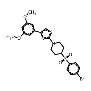 COc1cc(OC)cc(-c2csc(N3CCC(S(=O)(=O)c4ccc(Br)cc4)CC3)n2)c1